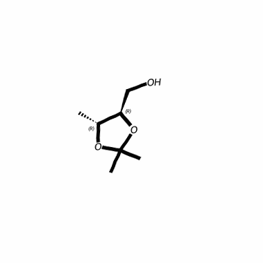 C[C@H]1OC(C)(C)O[C@@H]1CO